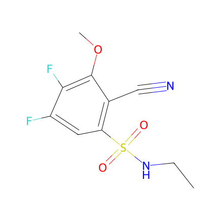 CCNS(=O)(=O)c1cc(F)c(F)c(OC)c1C#N